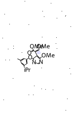 CO/C=C(\C(=O)OC)c1c(OC)ncnc1Oc1cc(C)cc(C(C)C)c1